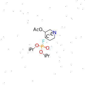 CC(=O)OC1CN2CCC1CC2.CC(C)OP(=O)(F)OC(C)C